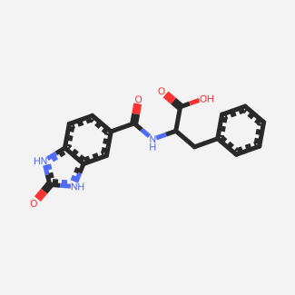 O=C(NC(Cc1ccccc1)C(=O)O)c1ccc2[nH]c(=O)[nH]c2c1